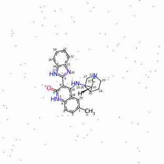 Cc1ccc2[nH]c(=O)c(-c3nc4ccccc4[nH]3)c(N[C@@H]3CN4CCC3CC4)c2c1